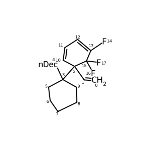 C=CC1(C2(CCCCCCCCCC)CCCCC2)C=CC=C(F)C1(F)F